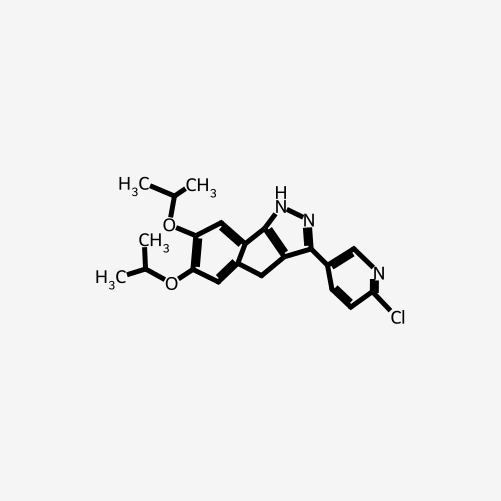 CC(C)Oc1cc2c(cc1OC(C)C)-c1[nH]nc(-c3ccc(Cl)nc3)c1C2